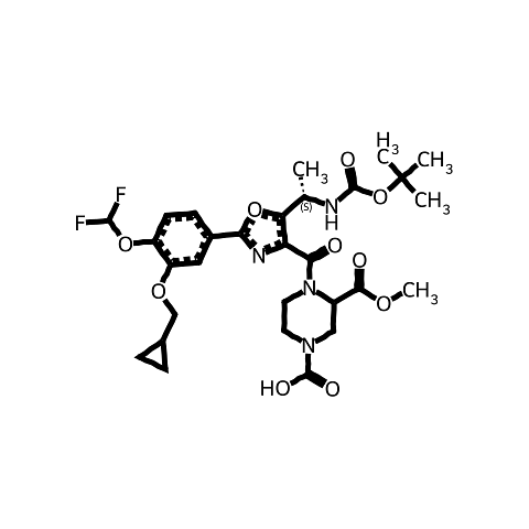 COC(=O)C1CN(C(=O)O)CCN1C(=O)c1nc(-c2ccc(OC(F)F)c(OCC3CC3)c2)oc1[C@H](C)NC(=O)OC(C)(C)C